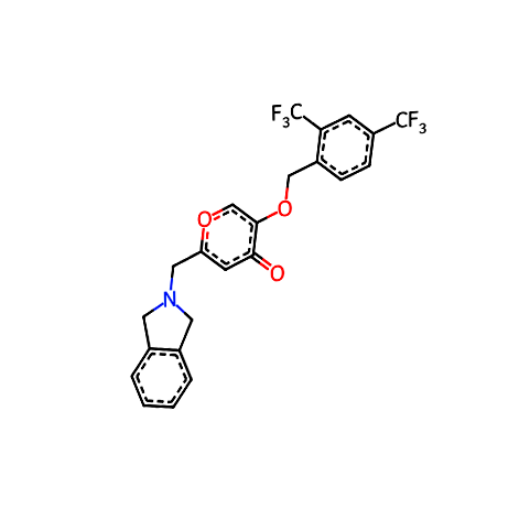 O=c1cc(CN2Cc3ccccc3C2)occ1OCc1ccc(C(F)(F)F)cc1C(F)(F)F